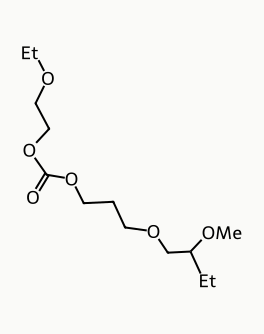 CCOCCOC(=O)OCCCOCC(CC)OC